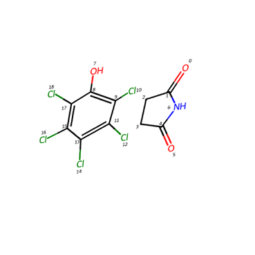 O=C1CCC(=O)N1.Oc1c(Cl)c(Cl)c(Cl)c(Cl)c1Cl